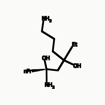 CCC[C@](N)(O)CC(O)(CC)CCCN